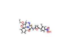 CCOC(=O)C1=C(C)N=c2s/c(=C\c3ccc(-c4ccc([N+](=O)O)cc4C)o3)c(=O)n2C1c1ccccc1